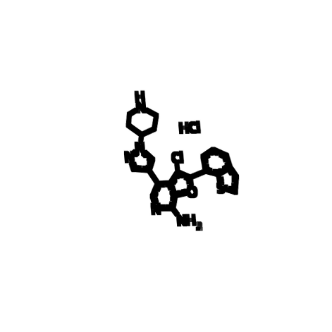 Cl.Nc1ncc(-c2cnn(C3CCNCC3)c2)c2c(Cl)c(-c3cccc4ccsc34)oc12